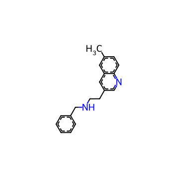 Cc1ccc2ncc(CCNCc3ccccc3)cc2c1